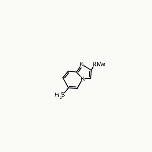 Bc1ccc2nc(NC)cn2c1